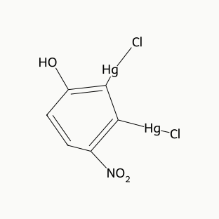 O=[N+]([O-])c1ccc(O)[c]([Hg][Cl])[c]1[Hg][Cl]